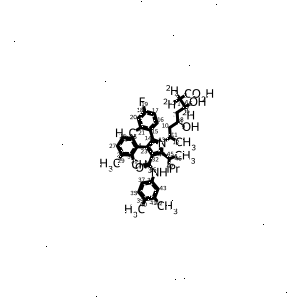 [2H]C([2H])(C(=O)O)[C@]([2H])(O)C[C@H](O)CC(C)n1c(-c2ccc(F)cc2C)c(-c2cccc(C)c2C)c(C(=O)Nc2ccc(C)c(C)c2)c1C(C)C(C)C